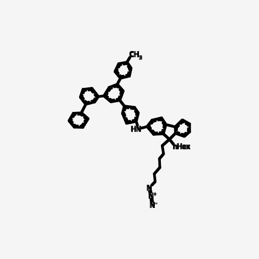 CCCCCCC1(CCCCCCN=[N+]=[N-])c2ccccc2-c2ccc(Nc3ccc(-c4cc(-c5ccc(C)cc5)cc(-c5cccc(-c6ccccc6)c5)c4)cc3)cc21